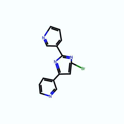 Brc1cc(-c2cccnc2)nc(-c2cccnc2)n1